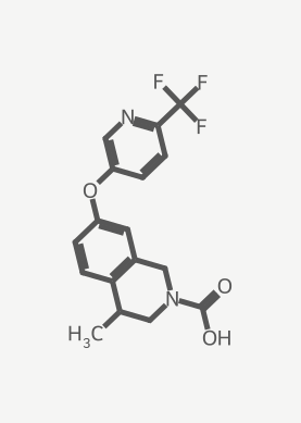 CC1CN(C(=O)O)Cc2cc(Oc3ccc(C(F)(F)F)nc3)ccc21